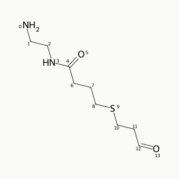 NCCNC(=O)CCCSCCC=O